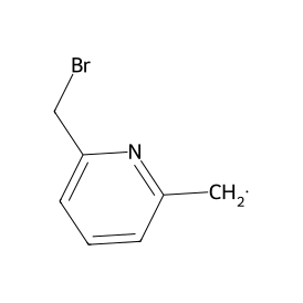 [CH2]c1cccc(CBr)n1